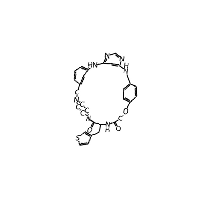 O=C1COc2ccc(cc2)Nc2cc(ncn2)Nc2cccc(c2)CN2CCN(CC2)C(=O)C(Cc2ccsc2)N1